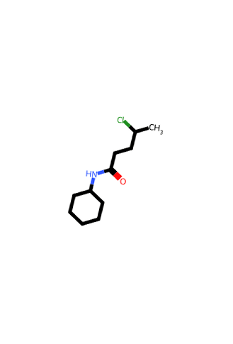 CC(Cl)CCC(=O)NC1CCCCC1